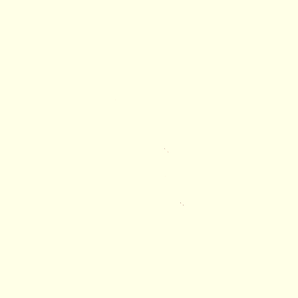 Cc1cc(CO)ccc1Sc1ccc(SSc2ccccn2)nc1